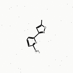 Cc1cc(-c2cccc(N)n2)no1